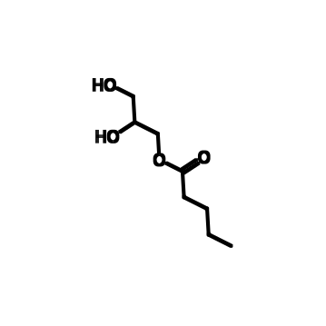 CCCCC(=O)OCC(O)CO